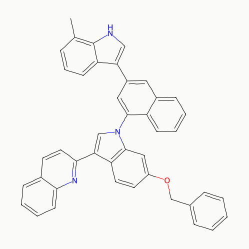 Cc1cccc2c(-c3cc(-n4cc(-c5ccc6ccccc6n5)c5ccc(OCc6ccccc6)cc54)c4ccccc4c3)c[nH]c12